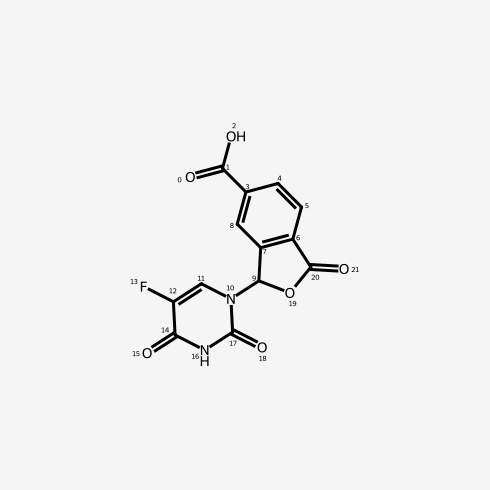 O=C(O)c1ccc2c(c1)C(n1cc(F)c(=O)[nH]c1=O)OC2=O